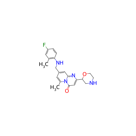 Cc1cc(F)ccc1NCc1cc(C)n2c(=O)cc(C3CNCCO3)nc2c1